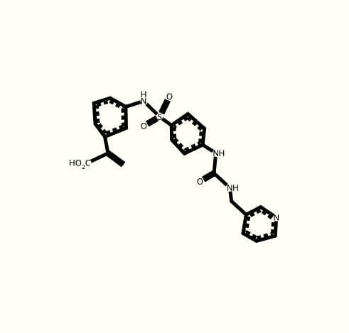 C=C(C(=O)O)c1cccc(NS(=O)(=O)c2ccc(NC(=O)NCc3cccnc3)cc2)c1